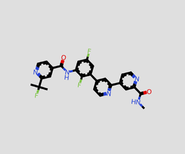 CNC(=O)c1cc(-c2cc(-c3cc(F)cc(NC(=O)c4ccnc(C(C)(C)F)c4)c3F)ccn2)ccn1